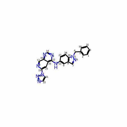 c1ccc(Cn2ncc3cc(Nc4ncnc5cnc(-n6ccnn6)cc45)ccc32)cc1